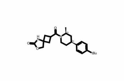 C[C@H]1C[C@@H](c2ccc(C(C)(C)C)cc2)CCN1C(=O)C1CC2(COC(=O)N2)C1